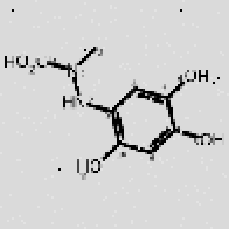 CN(Nc1cc(O)c(O)cc1O)C(=O)O